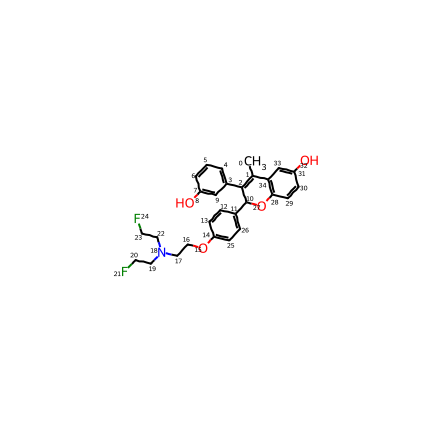 CC1=C(c2cccc(O)c2)C(c2ccc(OCCN(CCF)CCF)cc2)Oc2ccc(O)cc21